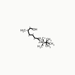 C[C@H](CO)CCCCO[Si](C)(C)C(C)(C)C